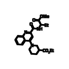 CCOC(=O)C1CCCN(c2cc(C(=O)NC(CC)C(=O)OC)nc3ccccc23)C1